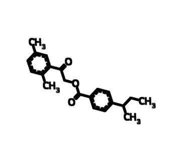 CCC(C)c1ccc(C(=O)OCC(=O)c2cc(C)ccc2C)cc1